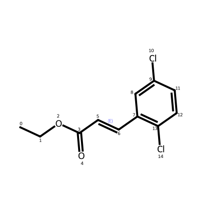 CCOC(=O)/C=C/c1cc(Cl)ccc1Cl